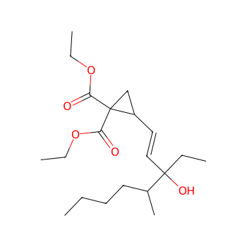 CCCCC(C)C(O)(C=CC1CC1(C(=O)OCC)C(=O)OCC)CC